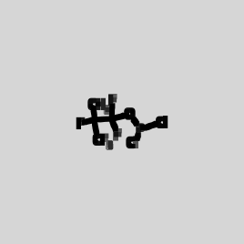 CC(F)(C(F)(F)F)C(F)(F)OP(Cl)Cl